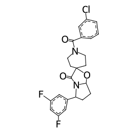 O=C(c1cccc(Cl)c1)N1CCC2(CC1)OC1CCC(c3cc(F)cc(F)c3)N1C2=O